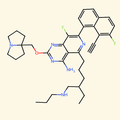 C#Cc1c(F)ccc2cccc(-c3nc(CCCC(CC)CNCCC)c4c(N)nc(OCC56CCCN5CCC6)nc4c3F)c12